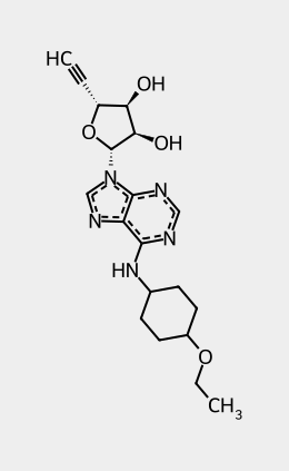 C#C[C@H]1O[C@@H](n2cnc3c(NC4CCC(OCC)CC4)ncnc32)[C@H](O)[C@@H]1O